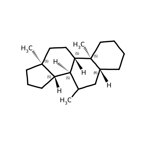 CC1C[C@H]2CCCC[C@]2(C)[C@H]2CC[C@]3(C)CCC[C@H]3[C@H]12